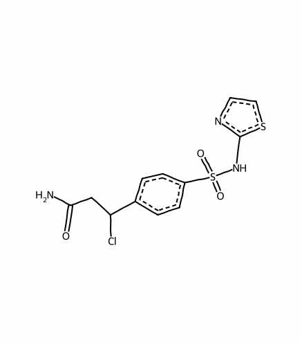 NC(=O)CC(Cl)c1ccc(S(=O)(=O)Nc2nccs2)cc1